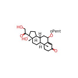 CCCCCOC1C[C@@H]2[C@H](CC[C@@]3(C)[C@H]2CC[C@]3(O)C(=O)CO)[C@@]2(C)CCC(=O)C=C12